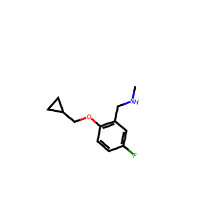 CNCc1cc(F)ccc1OCC1CC1